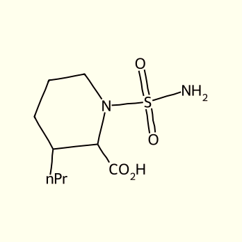 CCCC1CCCN(S(N)(=O)=O)C1C(=O)O